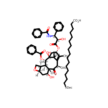 CC(=O)O[C@H]1C(=O)[C@@]2(C)[C@H]([C@H](OC(=O)c3ccccc3)[C@]3(O)C[C@H](OC(=O)[C@H](O)[C@@H](NC(=O)c4ccccc4)c4ccccc4)C(C)=C1C3(C)C)[C@]1(OC(C)=O)CO[C@@H]1C[C@@H]2O.CCCCCCCCCCCCCCCCCCCCCCCCCC(=O)O